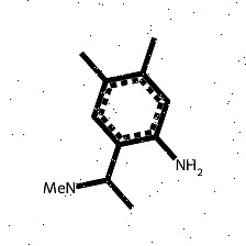 CNC(C)c1cc(C)c(C)cc1N